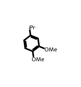 COc1ccc([C](C)C)cc1OC